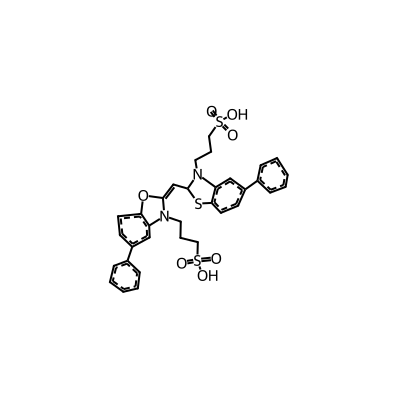 O=S(=O)(O)CCCN1C(=CC2Sc3ccc(-c4ccccc4)cc3N2CCCS(=O)(=O)O)Oc2ccc(-c3ccccc3)cc21